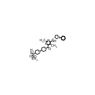 Cc1nc(NC[C@@H]2CCN(c3ccccc3)C2)c(C)c(C(=O)N2CCC(N3CCC(N(C)S(C)(=O)=O)CC3)CC2)n1